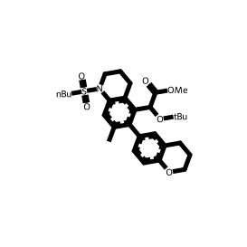 CCCCS(=O)(=O)N1CCCc2c1cc(C)c(-c1ccc3c(c1)CCCO3)c2C(OC(C)(C)C)C(=O)OC